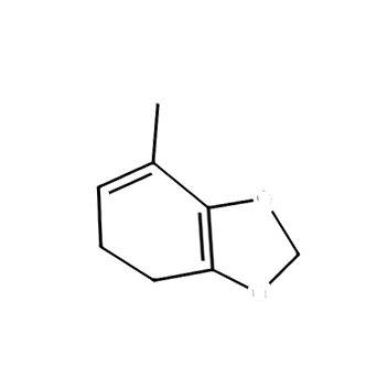 CC1=CC[CH]C2=C1OCO2